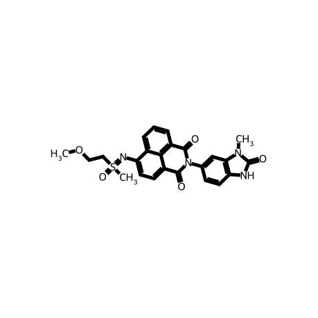 COCCS(C)(=O)=Nc1ccc2c3c(cccc13)C(=O)N(c1ccc3[nH]c(=O)n(C)c3c1)C2=O